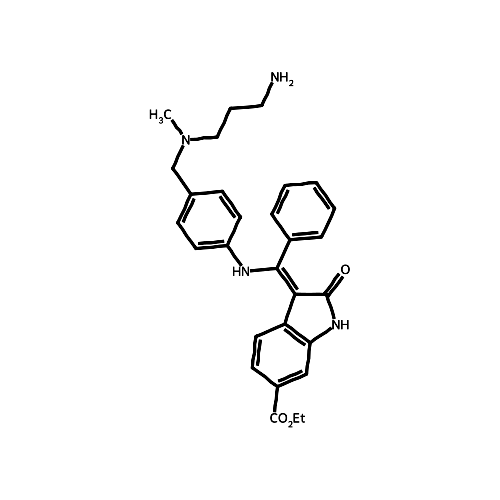 CCOC(=O)c1ccc2c(c1)NC(=O)C2=C(Nc1ccc(CN(C)CCCN)cc1)c1ccccc1